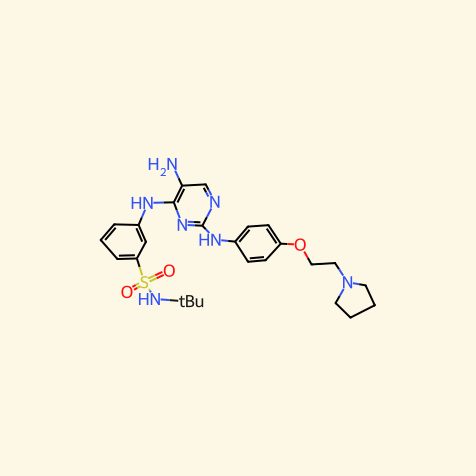 CC(C)(C)NS(=O)(=O)c1cccc(Nc2nc(Nc3ccc(OCCN4CCCC4)cc3)ncc2N)c1